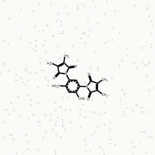 CC1=C(C)C(=O)N(c2cc(N3C(=O)C(C)=C(C)C3=O)c(C(=O)O)cc2C=O)C1=O